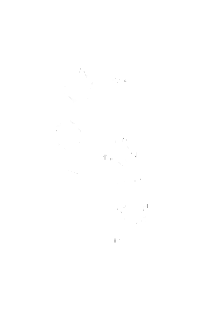 COc1cc(-c2ccc3c(c2Cc2nnc(S(=O)(=O)c4ccn(C(C)C)n4)[nH]2)CCC3)ccn1